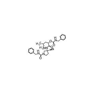 CC(C)CC(OC(=O)NCc1ccccc1)C(=O)NC1(C#N)CCN(C(=O)NCc2ccccc2)C1